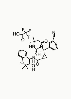 CC1(C)CC(=O)N(C(c2cccc(C#N)c2)[C@@H]2C[C@H]2C(=O)N[C@@H]2c3ccccc3OC(C)(C)[C@H]2O)C(=N)N1.O=C(O)C(F)(F)F